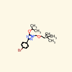 CC(C)Oc1nc(-c2ccc(Br)cc2)nn1COCC[Si](C)(C)C